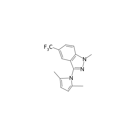 Cc1ccc(C)n1-c1nn(C)c2ccc(C(F)(F)F)cc12